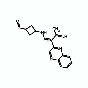 CC(=N)/C(=C\NC1CC(C=O)C1)c1cnc2ccccc2n1